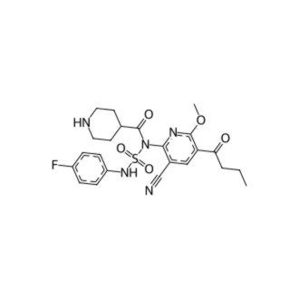 CCCC(=O)c1cc(C#N)c(N(C(=O)C2CCNCC2)S(=O)(=O)Nc2ccc(F)cc2)nc1OC